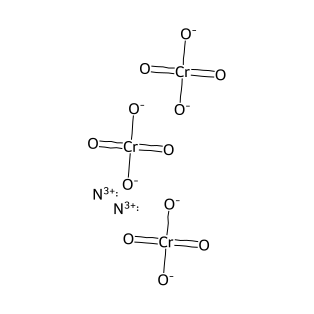 [N+3].[N+3].[O]=[Cr](=[O])([O-])[O-].[O]=[Cr](=[O])([O-])[O-].[O]=[Cr](=[O])([O-])[O-]